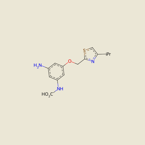 CC(C)c1csc(COc2cc(N)cc(NC(=O)O)c2)n1